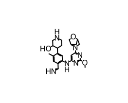 COc1nc(Nc2cc(C3CCNCC3O)c(C)cc2C=N)cc(N2CC3CC2CO3)n1